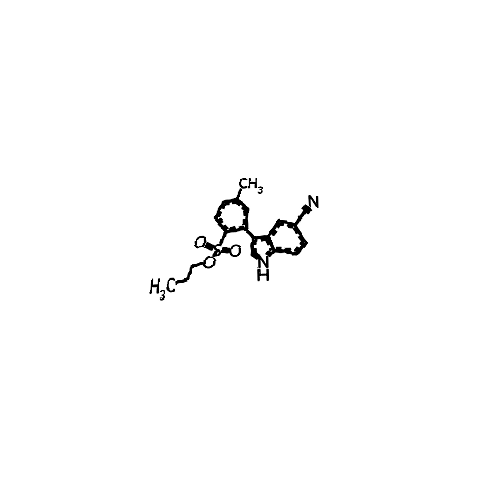 CCCOS(=O)(=O)c1ccc(C)cc1-c1c[nH]c2ccc(C#N)cc12